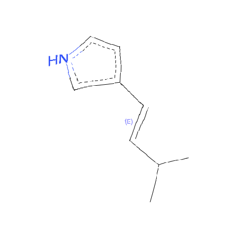 CC(C)/C=C/c1cc[nH]c1